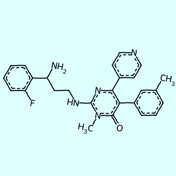 Cc1cccc(-c2c(-c3ccncc3)nc(NCCC(N)c3ccccc3F)n(C)c2=O)c1